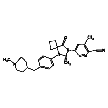 C=C1N(c2cnc(C#N)c(C)c2)C(=O)C2(CCC2)N1c1ccc(CC2CCN(C)CC2)cc1